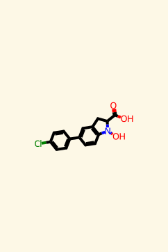 O=C(O)C1Cc2cc(-c3ccc(Cl)cc3)ccc2N1O